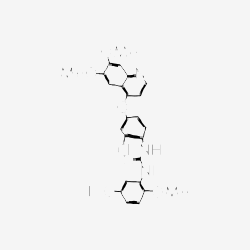 COc1ccc(C(F)(F)F)cc1NC(=O)Nc1ccc(Oc2ccnc3cc(OC)c(OC)cc23)cc1Cl